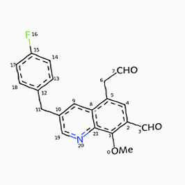 COc1c(C=O)cc(CC=O)c2cc(Cc3ccc(F)cc3)cnc12